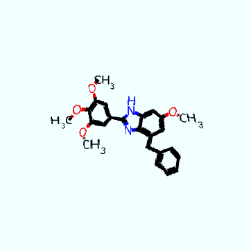 COc1cc(Cc2ccccc2)c2nc(-c3cc(OC)c(OC)c(OC)c3)[nH]c2c1